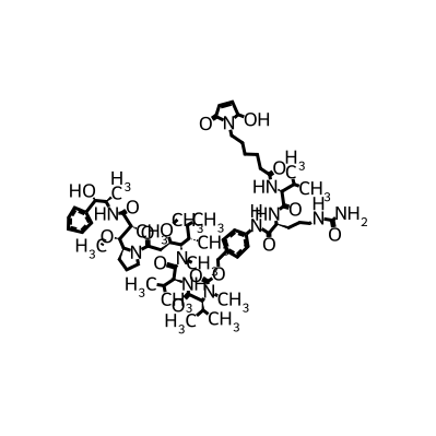 CC[C@H](C)[C@@H]([C@@H](CC(=O)N1CCC[C@H]1[C@H](OC)[C@@H](C)C(=O)N[C@H](C)[C@@H](O)c1ccccc1)OC)N(C)C(=O)[C@@H](NC(=O)[C@H](C(C)C)N(C)C(=O)OCc1ccc(NC(=O)[C@H](CCCNC(N)=O)NC(=O)[C@H](NC(=O)CCCCCN2C(=O)C=CC2O)C(C)C)cc1)C(C)C